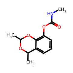 CNC(=O)Oc1cccc2c1OC(C)OC2C